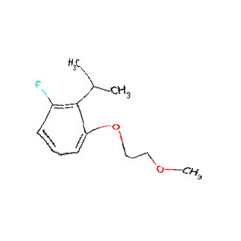 COCCOc1cccc(F)c1C(C)C